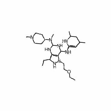 CCOCCN1NC(CC)C2=C1C(NC1=CC(C)CC(C)N1)NC(N(C)C1CCN(C)CC1)N2